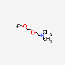 C[CH]OCCOCCN(C)C